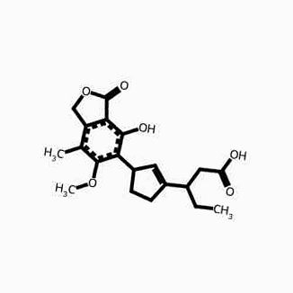 CCC(CC(=O)O)C1=CC(c2c(O)c3c(c(C)c2OC)COC3=O)CC1